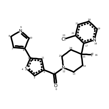 O=C(c1csc(C2=CCN=C2)c1)N1CCC(F)(c2ncccc2Cl)CC1